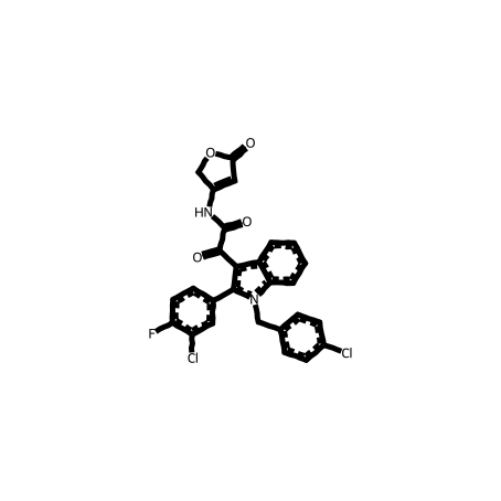 O=C1C=C(NC(=O)C(=O)c2c(-c3ccc(F)c(Cl)c3)n(Cc3ccc(Cl)cc3)c3ccccc23)CO1